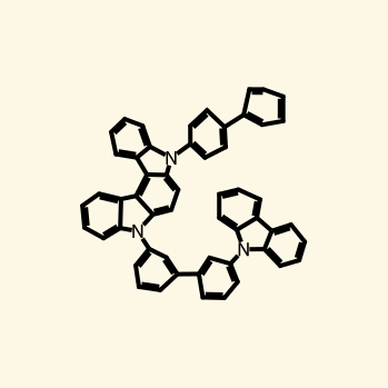 c1ccc(-c2ccc(-n3c4ccccc4c4c5c6ccccc6n(-c6cccc(-c7cccc(-n8c9ccccc9c9ccccc98)c7)c6)c5ccc43)cc2)cc1